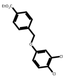 CCOC(=O)c1ccc(COc2ccc(Cl)c(Cl)c2)cc1